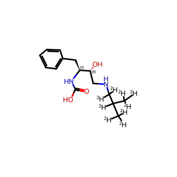 [2H]C([2H])([2H])C([2H])(C([2H])([2H])[2H])C([2H])([2H])NC[C@@H](O)[C@H](Cc1ccccc1)NC(=O)O